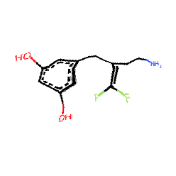 NCC(Cc1cc(O)cc(O)c1)=C(F)F